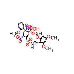 COc1cc(OC)c(/C=C/NS(=O)(=O)CC2=CC(S(=O)(=O)O)C(c3ccccc3OC)([N+](=O)[O-])C=C2[N+](=O)[O-])c(OC)c1